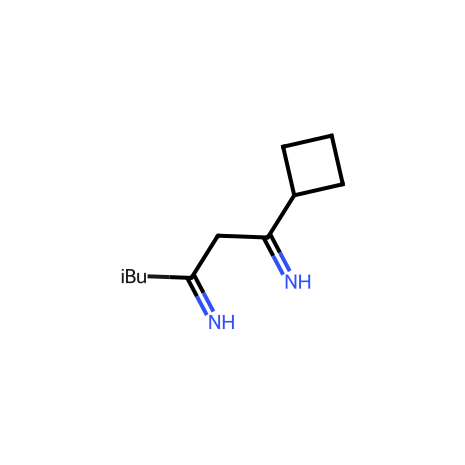 CCC(C)C(=N)CC(=N)C1CCC1